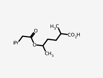 CC(C)CC(=O)OC(C)CCC(C)C(=O)O